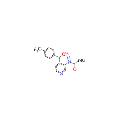 CC(C)(C)C(=O)Nc1cnccc1C(O)c1ccc(C(F)(F)F)cc1